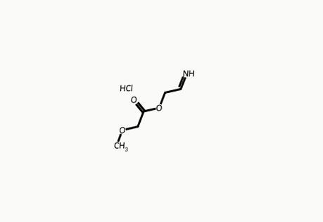 COCC(=O)OCC=N.Cl